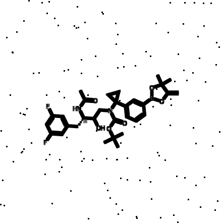 C=C1OB(c2cccc(C3(N(CC(O)[C@H](Cc4cc(F)cc(F)c4)NC(C)=O)C(=O)OC(C)(C)C)CC3)c2)OC1(C)C